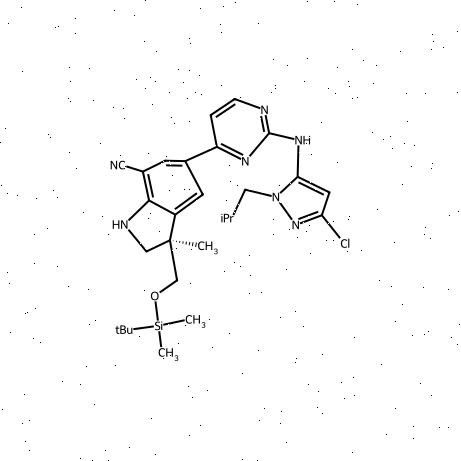 CC(C)Cn1nc(Cl)cc1Nc1nccc(-c2cc(C#N)c3c(c2)[C@@](C)(CO[Si](C)(C)C(C)(C)C)CN3)n1